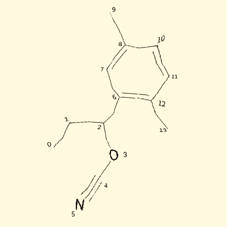 CCC(OC#N)c1cc(C)ccc1C